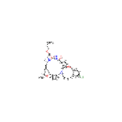 COCCOCCN1[C@@H](C)C/C=C/C(O[Si](C)(C)C(C)(C)C)[C@@H]2CC[C@H]2CN2CCCCc3cc(Cl)ccc3COc3ccc(cc32)C(=O)NS1(=O)=O